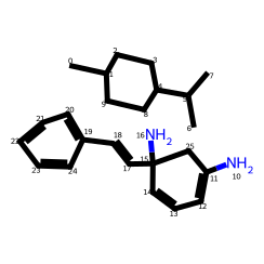 CC1CCC(C(C)C)CC1.NC1=CC=CC(N)(C=Cc2ccccc2)C1